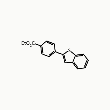 CCOC(=O)c1ccc(-c2cc3ccccc3s2)cc1